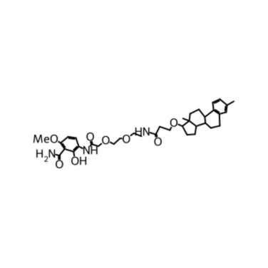 COc1ccc(NC(=O)COCCOCCNC(=O)CCOC2CCC3C4CCc5cc(C)ccc5C4CCC23C)c(O)c1C(N)=O